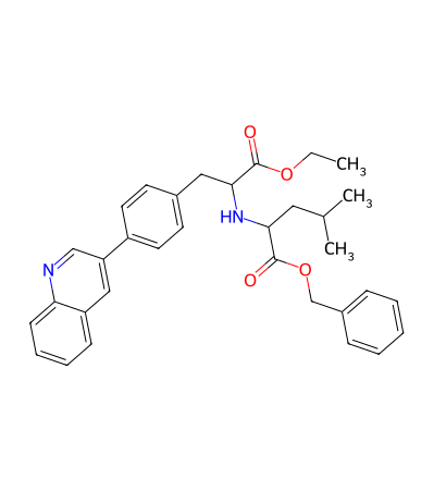 CCOC(=O)C(Cc1ccc(-c2cnc3ccccc3c2)cc1)NC(CC(C)C)C(=O)OCc1ccccc1